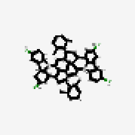 Cc1cccc(C)c1-c1cc2c3c(cc4c(-c5c(C)cccc5C)cc5c6c(cc1c3c46)B1c3ccc(Br)cc3-c3cc(Br)cc-5c31)B1c3ccc(Br)cc3-c3cc(Br)cc-2c31